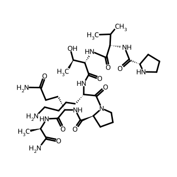 CC(C)[C@H](NC(=O)[C@@H]1CCCN1)C(=O)N[C@H](C(=O)N[C@@H](CCCCN)C(=O)N1CCC[C@H]1C(=O)N[C@@H](CCC(N)=O)C(=O)N[C@H](C)C(N)=O)[C@@H](C)O